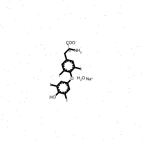 N[C@H](Cc1cc(I)c(Oc2cc(I)c(O)c(I)c2)c(I)c1)C(=O)[O-].O.[Na+]